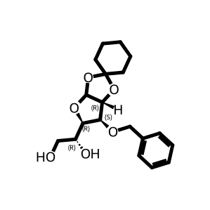 OC[C@@H](O)[C@H]1OC2OC3(CCCCC3)O[C@@H]2[C@H]1OCc1ccccc1